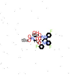 C=C(Nc1cccc(F)c1OC[C@@H]1CN(C(=O)OC(C)(C)C)[C@H](CO)CO1)C(NC(=O)OC(C)(C)C)C(c1ccc(F)cc1)c1ccc(F)cc1